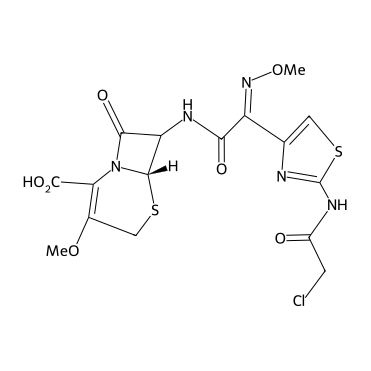 CON=C(C(=O)NC1C(=O)N2C(C(=O)O)=C(OC)CS[C@@H]12)c1csc(NC(=O)CCl)n1